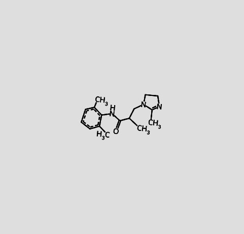 CC1=NCCN1CC(C)C(=O)Nc1c(C)cccc1C